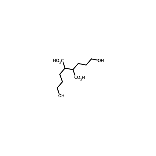 O=C(O)C(CCCO)C(CCCO)C(=O)O